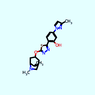 Cc1ccn(-c2ccc(-c3nnc(OC4CC5N(C)CC6(C4)CC56C)s3)c(O)c2)n1